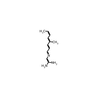 C\C=C/C=C(C)/C=C/C=N/C=C(N)N